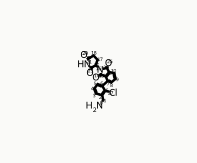 NCc1cccc(-c2cccc3c2C(=O)N(C2CCC(=O)NC2=O)C3=O)c1Cl